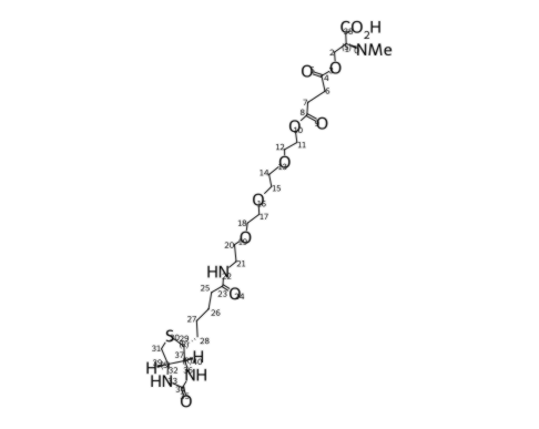 CN[C@@H](COC(=O)CCC(=O)OCCOCCOCCOCCNC(=O)CCCC[C@H]1SC[C@H]2NC(=O)N[C@H]21)C(=O)O